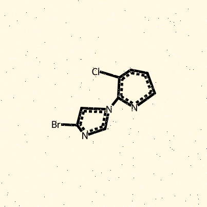 Clc1cccnc1-n1[c]nc(Br)c1